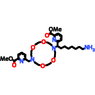 COC(=O)c1cccc(CN2CCOCCOCCN(C(CCCCCCCN)c3cccc(C(=O)OC)n3)CCOCCOCC2)n1